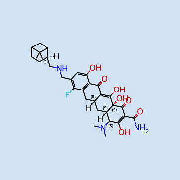 CN(C)[C@@H]1C(O)=C(C(N)=O)C(=O)[C@@]2(O)C(O)=C3C(=O)c4c(O)cc(CNC[C@H]5CCC6CC5C6(C)C)c(F)c4C[C@H]3C[C@@H]12